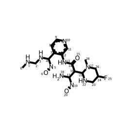 CNCNC(N=O)c1ccncc1NC(=O)C(C(N)N=O)C1NCC(F)CN1C